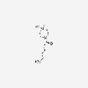 CC(C)C1(C)CCN(C(=O)CCCCC(C)(C)C)CC1